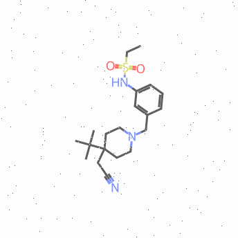 CCS(=O)(=O)Nc1cccc(CN2CCC(CC#N)(C(C)(C)C)CC2)c1